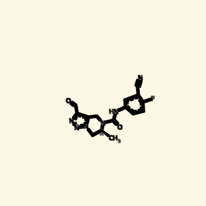 C[C@H]1Cn2nnc(C=O)c2CN1C(=O)Nc1ccc(F)c(C#N)c1